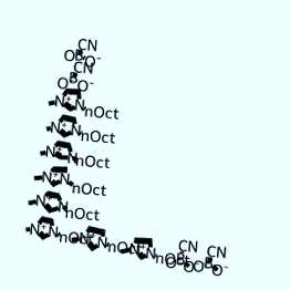 CCCCCCCCn1cc[n+](C)c1.CCCCCCCCn1cc[n+](C)c1.CCCCCCCCn1cc[n+](C)c1.CCCCCCCCn1cc[n+](C)c1.CCCCCCCCn1cc[n+](C)c1.CCCCCCCCn1cc[n+](C)c1.CCCCCCCCn1cc[n+](C)c1.CCCCCCCCn1cc[n+](C)c1.N#CB([O-])[O-].N#CB([O-])[O-].N#CB([O-])[O-].N#CB([O-])[O-]